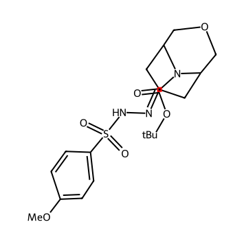 COc1ccc(S(=O)(=O)NN=C2CC3COCC(C2)N3C(=O)OC(C)(C)C)cc1